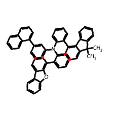 CC1(C)c2ccccc2-c2c(-c3ccccc3N(c3cccc(-c4cccc5ccccc45)c3)c3ccccc3-c3cccc4c3oc3ccccc34)cccc21